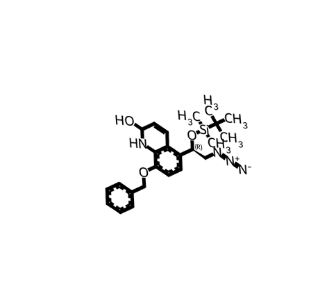 CC(C)(C)[Si](C)(C)O[C@@H](CN=[N+]=[N-])c1ccc(OCc2ccccc2)c2c1C=CC(O)N2